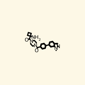 Cn1ncc2ccc(-c3ccc(C(=O)N4CCN(C(=O)C5(N)CCC5)CC4)cc3)cc21